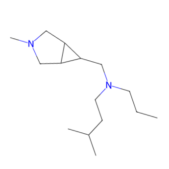 CCCN(CCC(C)C)CC1C2CN(C)CC21